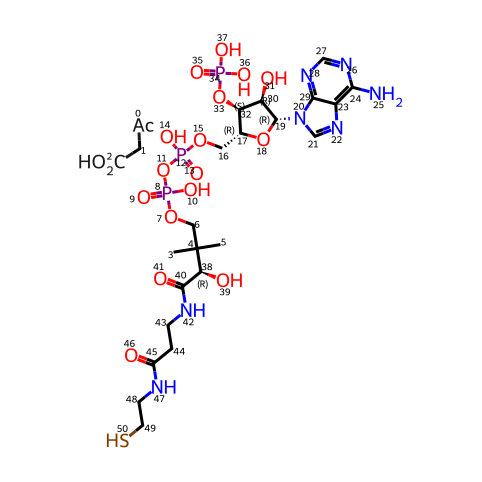 CC(=O)CC(=O)O.CC(C)(COP(=O)(O)OP(=O)(O)OC[C@H]1O[C@@H](n2cnc3c(N)ncnc32)[C@H](O)[C@@H]1OP(=O)(O)O)[C@@H](O)C(=O)NCCC(=O)NCCS